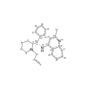 C=CCN1CCCCC1[C@@H](Nc1cc(C)nc2ccccc12)c1ccccc1